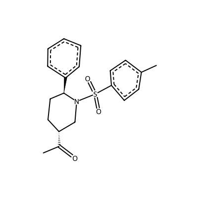 CC(=O)[C@@H]1CC[C@@H](c2ccccc2)N(S(=O)(=O)c2ccc(C)cc2)C1